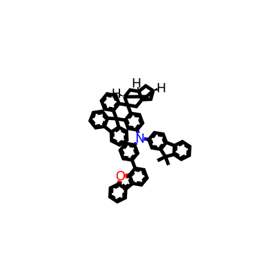 CC1(C)c2ccccc2-c2ccc(N(c3cccc(-c4cccc5c4oc4ccccc45)c3)c3ccc4c(c3)C3(c5ccccc5-c5ccccc53)c3ccccc3C43CC4C[C@H]5C[C@@H]4C[C@H]3C5)cc21